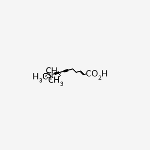 C[Si](C)(C)C#CC#CCCC=CC(=O)O